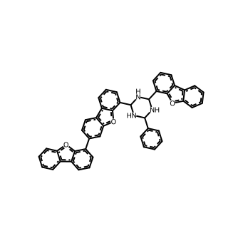 c1ccc(C2NC(c3cccc4c3oc3ccccc34)NC(c3cccc4c3oc3cc(-c5cccc6c5oc5ccccc56)ccc34)N2)cc1